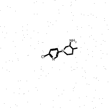 CC1CCN(c2ccc(Cl)nc2)CC1N